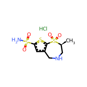 C[C@H]1CNCc2cc(S(N)(=O)=O)sc2S1(=O)=O.Cl